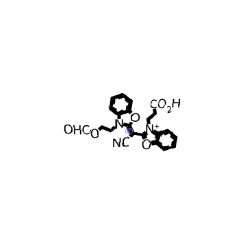 N#C/C(=C1/Oc2ccccc2N1CCOC=O)c1oc2ccccc2[n+]1CCC(=O)O